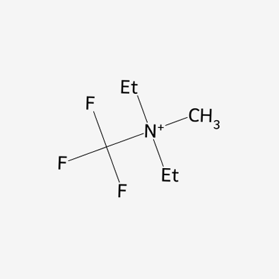 CC[N+](C)(CC)C(F)(F)F